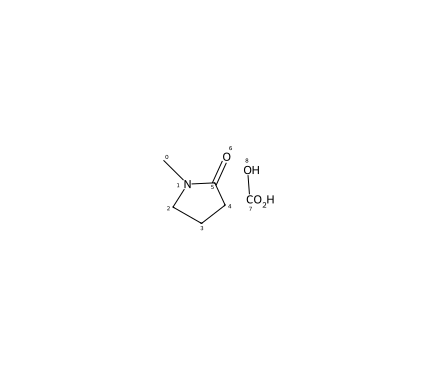 CN1CCCC1=O.O=C(O)O